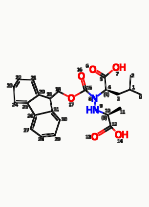 CC(C)C[C@H](C(=O)O)N(N[C@@H](C)C(=O)O)C(=O)OCC1c2ccccc2-c2ccccc21